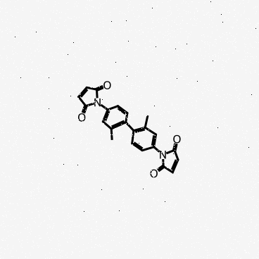 Cc1cc(N2C(=O)C=CC2=O)ccc1-c1ccc(N2C(=O)C=CC2=O)cc1C